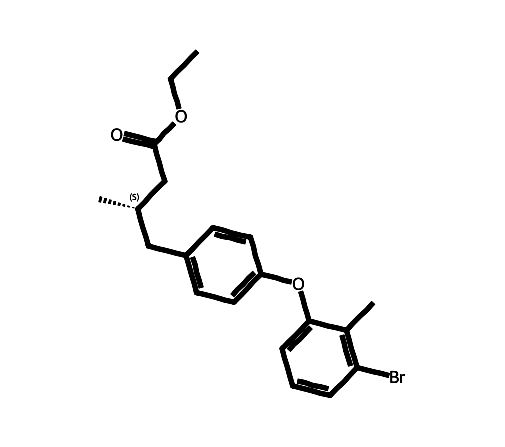 CCOC(=O)C[C@@H](C)Cc1ccc(Oc2cccc(Br)c2C)cc1